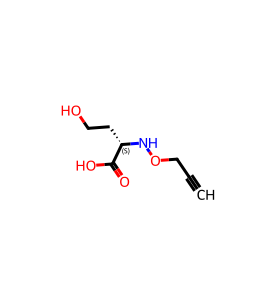 C#CCON[C@@H](CCO)C(=O)O